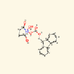 O=C(OCC1c2ccccc2-c2ccccc21)O[N+]1(O)C(=O)CCC1=O